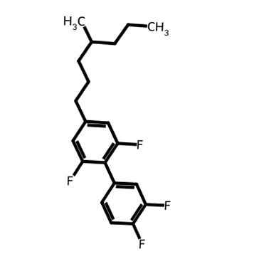 CCCC(C)CCCc1cc(F)c(-c2ccc(F)c(F)c2)c(F)c1